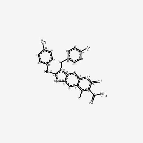 Cc1c(C(N)=O)c(=O)oc2cc3c(cc12)nc(Nc1ccc(C#N)cc1)n3Cc1ccc(Br)cc1